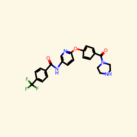 O=C(Nc1ccc(Oc2ccc(C(=O)N3CCNCC3)cc2)nc1)c1ccc(C(F)(F)F)cc1